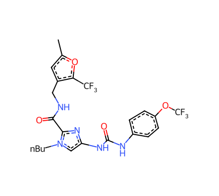 CCCCn1cc(NC(=O)Nc2ccc(OC(F)(F)F)cc2)nc1C(=O)NCc1cc(C)oc1C(F)(F)F